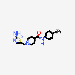 CC(C)c1ccc(NC(=O)C2CCN(Cc3cnc(N)s3)CC2)cc1